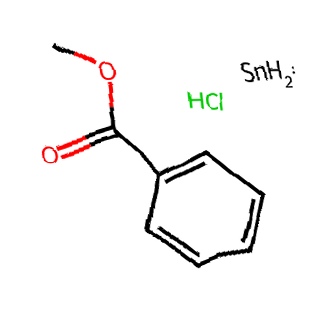 COC(=O)c1ccccc1.Cl.[SnH2]